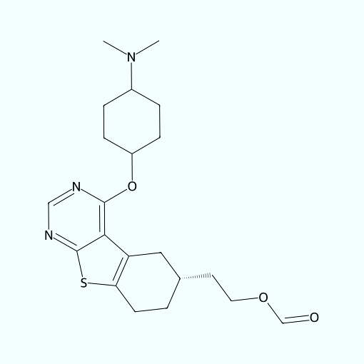 CN(C)C1CCC(Oc2ncnc3sc4c(c23)C[C@H](CCOC=O)CC4)CC1